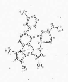 Cc1cccc(-c2ccc(-n3nc(C(F)(F)F)cc3C)c(-c3nc(C)oc3-c3ccc(OC(F)(F)F)cc3)c2)c1